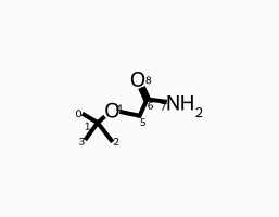 CC(C)(C)OCC(N)=O